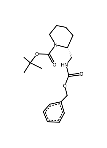 CC(C)(C)OC(=O)N1CCCC[C@@H]1CNC(=O)OCc1ccccc1